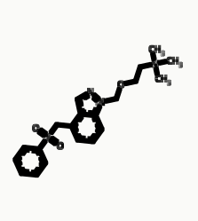 C[Si](C)(C)CCOCn1ncc2c(CS(=O)(=O)c3ccccc3)cccc21